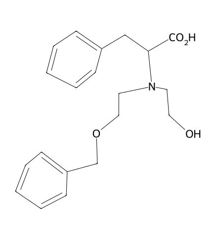 O=C(O)C(Cc1ccccc1)N(CCO)CCOCc1ccccc1